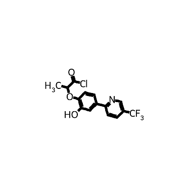 CC(Oc1ccc(-c2ccc(C(F)(F)F)cn2)cc1O)C(=O)Cl